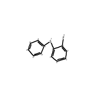 Fc1ccccc1Sc1ccccc1